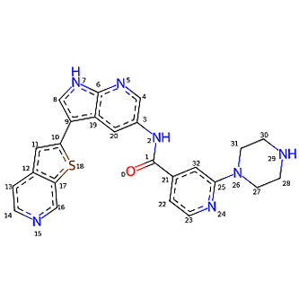 O=C(Nc1cnc2[nH]cc(-c3cc4ccncc4s3)c2c1)c1ccnc(N2CCNCC2)c1